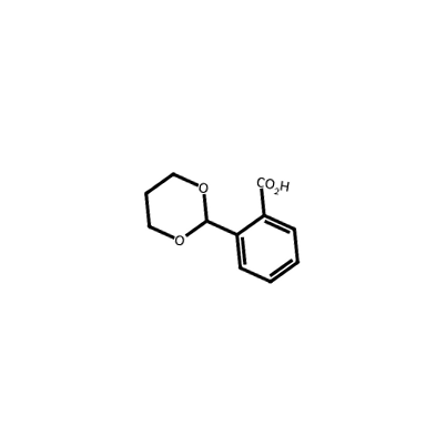 O=C(O)c1ccccc1C1OCCCO1